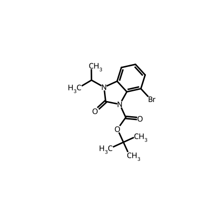 CC(C)n1c(=O)n(C(=O)OC(C)(C)C)c2c(Br)cccc21